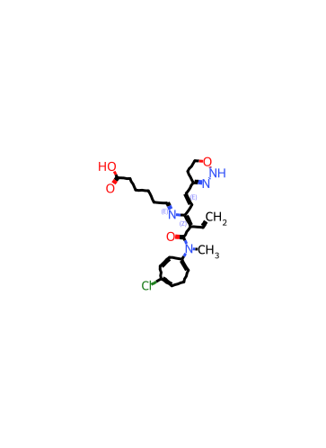 C=C/C(C(=O)N(C)C1=CCC=C(Cl)C=C1)=C(\C=C\C1=NNOCC1)/N=C/CCCCC(=O)O